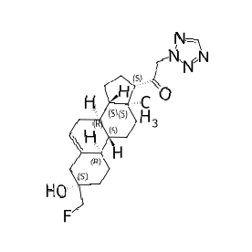 C[C@]12CC[C@H]3[C@@H](CC=C4C[C@](O)(CF)CC[C@@H]43)[C@@H]1CC[C@@H]2C(=O)Cn1ncnn1